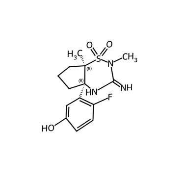 CN1C(=N)N[C@@]2(c3cc(O)ccc3F)CCC[C@@]2(C)S1(=O)=O